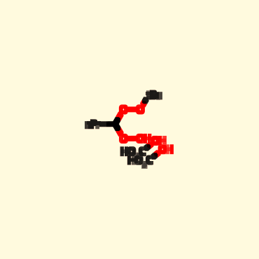 CCCC(OO)OOC(C)(C)C.O=C(O)O.O=C(O)O